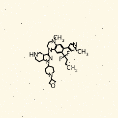 C=CCC(F)(F)c1cc2c(cc1-c1cnn(C)c1)N(C)CCN2C1=NN(C2CCN(C3COC3)CC2)C2CCNCC12